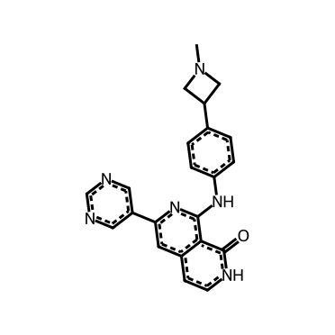 CN1CC(c2ccc(Nc3nc(-c4cncnc4)cc4cc[nH]c(=O)c34)cc2)C1